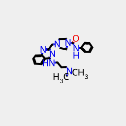 CN(C)CCCNc1nc(CN2CCN(C(=O)Nc3ccccc3)CC2)nc2ccccc12